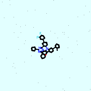 Cc1ccccc1-c1ccc2c3ccccc3n(-c3ccc(-c4ccc(F)c(F)c4)cc3-c3nc(-c4ccccc4)nc(-c4ccccc4)n3)c2c1